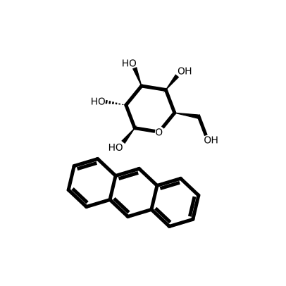 OC[C@H]1O[C@@H](O)[C@H](O)[C@@H](O)[C@H]1O.c1ccc2cc3ccccc3cc2c1